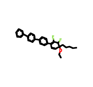 CCCCCC1(OCC)C=CC(c2ccc(-c3ccc(-c4ccccc4)cc3)cc2)=C(F)C1F